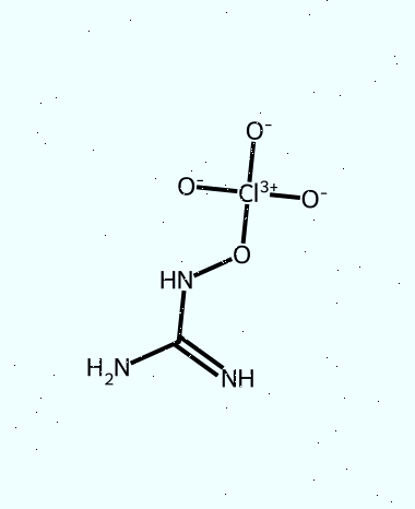 N=C(N)NO[Cl+3]([O-])([O-])[O-]